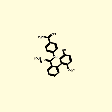 CS(=O)(=O)O.N=C(N)c1ccc(NC(=O)c2ccccc2-c2cc(O)ccc2C(=O)O)cc1